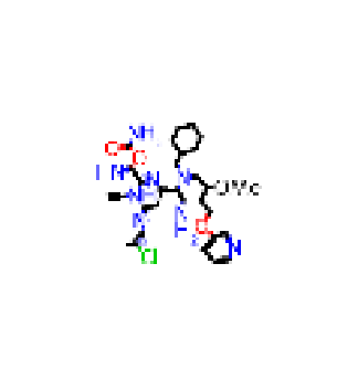 C#CN/C(=N\[C@H](C/C=N\C=C(/C)Cl)C(CN)N(CC1CCCCC1)CC(CCOc1cccnc1)OC)C(=N)OC(N)=O